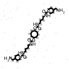 NCC1CCN(C(=O)NCCCCNC(=O)O[C@H]2CCC[C@@H](OC(=O)NCCCCNC(=O)N3CCC(CN)CC3)CCC2)CC1